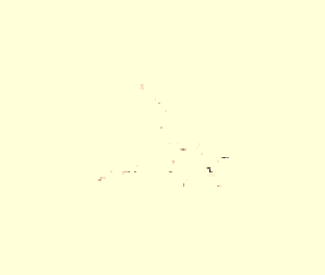 CCCCOC[C@H]1OC(C)(C)C[C@H]1CCO